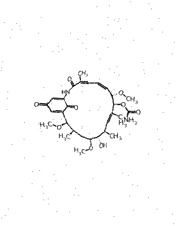 CO[C@H]1/C=C\C=C(/C)C(=O)NC2=CC(=O)C=C(C2=O)[C@H](OC)[C@H](C)C[C@H](OC)[C@@H](O)[C@H](C)/C=C(\C)[C@@H]1OC(N)=O